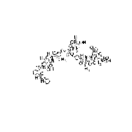 Cc1c(-c2ccc(N3CCc4cccc(C(=O)Nc5nc6ccccc6s5)c4C3)nc2C(=O)O)cnn1CC12CC3(C)CC(OCCN(C)C(=O)OCc4ccc(NC(=O)[C@H](C)NC(=O)[C@@H](NC(=O)CN5C(=O)CC[C@H]5COCCS(=O)(=O)O)C(C)C)cc4CC[C@H]4C[C@@H](O)[C@H](O)[C@@H](C(=O)O)O4)(CC1(C)C3)C2